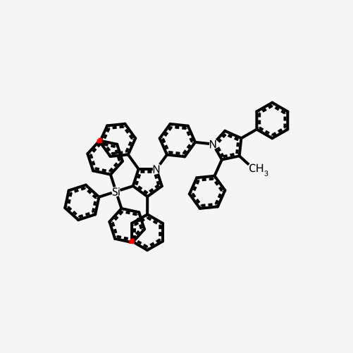 Cc1c(-c2ccccc2)cn(-c2cccc(-n3cc(-c4ccccc4)c([Si](c4ccccc4)(c4ccccc4)c4ccccc4)c3-c3ccccc3)c2)c1-c1ccccc1